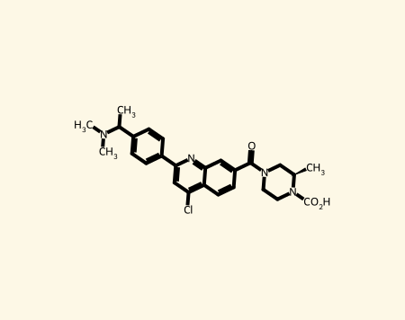 CC(c1ccc(-c2cc(Cl)c3ccc(C(=O)N4CCN(C(=O)O)[C@H](C)C4)cc3n2)cc1)N(C)C